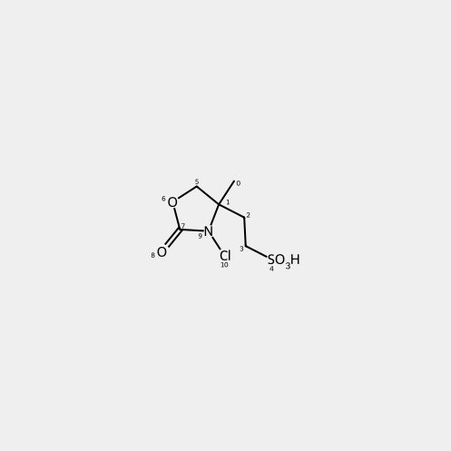 CC1(CCS(=O)(=O)O)COC(=O)N1Cl